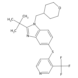 CC(C)(C)c1nc2cc(Sc3ccncc3C(F)(F)F)ccc2n1CC1CCOCC1